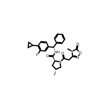 Cn1c(CC(=O)N2C[C@H](F)C[C@H]2C(=O)N[C@@H](c2ccccc2)c2ccc(C3CC3)c(F)c2)noc1=O